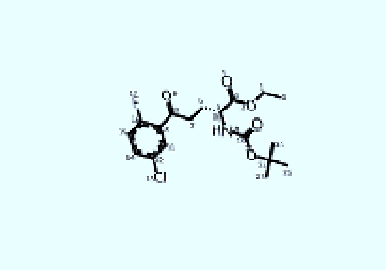 CCOC(=O)[C@@H](CCC(=O)c1cc(Cl)ccc1F)NC(=O)OC(C)(C)C